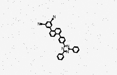 N#Cc1cc(C#N)cc(-c2cccc3c(-c4ccc(-c5nc(-c6ccccc6)nc(-c6ccccc6)n5)cc4)cccc23)c1